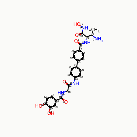 C[C@@H](N)[C@H](NC(=O)c1ccc(-c2ccc(NC(=O)CNC(=O)c3ccc(O)c(O)c3)cc2)cc1)C(=O)NO